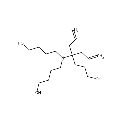 C=CCC(CC=C)(CCCO)N(CCCCO)CCCCO